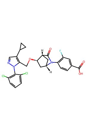 O=C(O)c1ccc(N2C(=O)[C@@H]3C[C@H]2C[C@H]3OCc2c(C3CC3)cnn2-c2c(Cl)cccc2Cl)c(F)c1